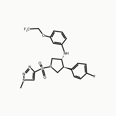 Cn1cc(S(=O)(=O)N2C[C@H](Nc3cccc(OCC(F)(F)F)c3)[C@@H](c3ccc(F)cc3)C2)nn1